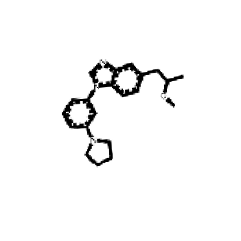 COC(C)Cc1ccc2c(c1)ncn2-c1cccc(N2CCCC2)c1